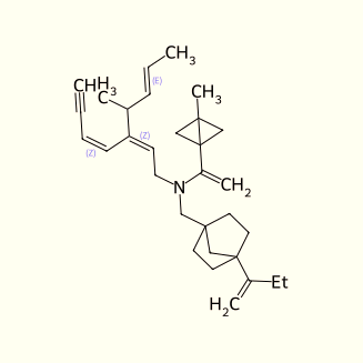 C#C/C=C\C(=C/CN(CC12CCC(C(=C)CC)(CC1)C2)C(=C)C12CC1(C)C2)C(C)/C=C/C